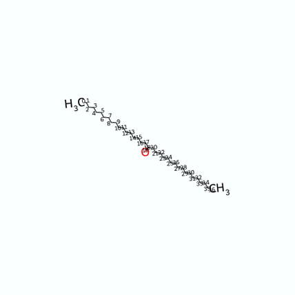 CCCCCCCCCCCCCCCCCCC(=O)CCCCCCCCCCCCCCCCC